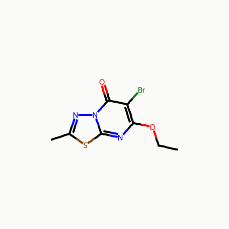 CCOc1nc2sc(C)nn2c(=O)c1Br